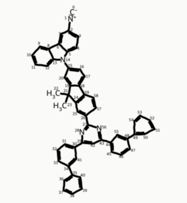 [C-]#[N+]c1ccc2c(c1)c1ccccc1n2-c1ccc2c(c1)C(C)(C)c1cc(-c3nc(-c4cccc(-c5ccccc5)c4)cc(-c4cccc(-c5ccccc5)c4)n3)ccc1-2